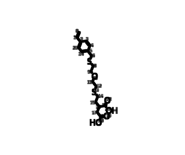 C=Cc1ccc(CSCCOCCSCCC(CC(=O)O)C(=O)O)cc1